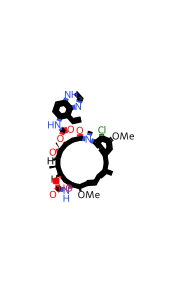 C=Cc1c(NC(=O)O[C@H]2CC(=O)N(C)c3cc(cc(OC)c3Cl)C/C(C)=C/C=C/[C@@H](OC)[C@@]3(O)C[C@H](OC(=O)N3)[C@@H](C)[C@@H]3O[C@@]23C)ccc(N)c1/N=C\C